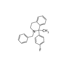 CC1(c2ccc(F)cc2)c2ccccc2CCN1Cc1ccccc1